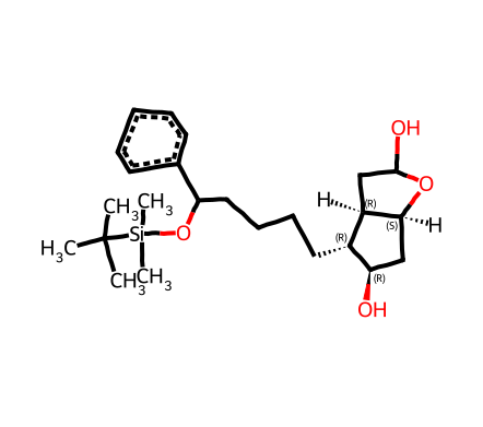 CC(C)(C)[Si](C)(C)OC(CCCC[C@@H]1[C@H]2CC(O)O[C@H]2C[C@H]1O)c1ccccc1